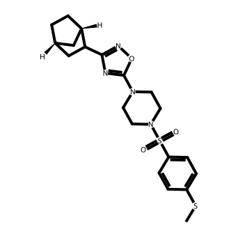 CSc1ccc(S(=O)(=O)N2CCN(c3nc(C4C[C@@H]5CC[C@H]4C5)no3)CC2)cc1